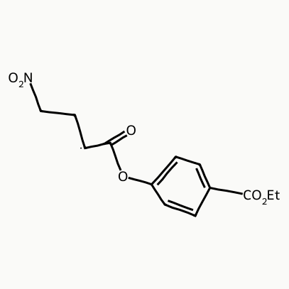 CCOC(=O)c1ccc(OC(=O)[CH]CC[N+](=O)[O-])cc1